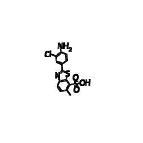 Cc1ccc2nc(-c3ccc(N)c(Cl)c3)sc2c1S(=O)(=O)O